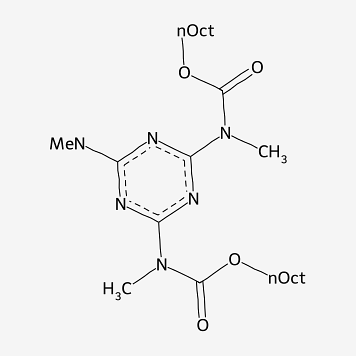 CCCCCCCCOC(=O)N(C)c1nc(NC)nc(N(C)C(=O)OCCCCCCCC)n1